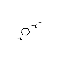 COC(=O)N[C@H]1CC[C@@H](C(=O)O)CC1